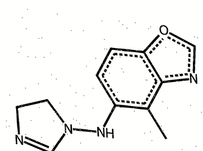 Cc1c(NN2C=NCC2)ccc2ocnc12